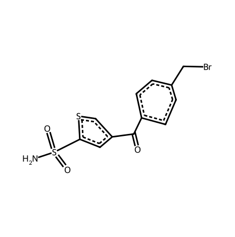 NS(=O)(=O)c1cc(C(=O)c2ccc(CBr)cc2)cs1